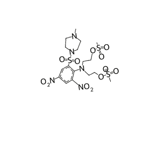 CN1CCN(S(=O)(=O)c2cc([N+](=O)[O-])cc([N+](=O)[O-])c2N(CCOS(C)(=O)=O)CCOS(C)(=O)=O)CC1